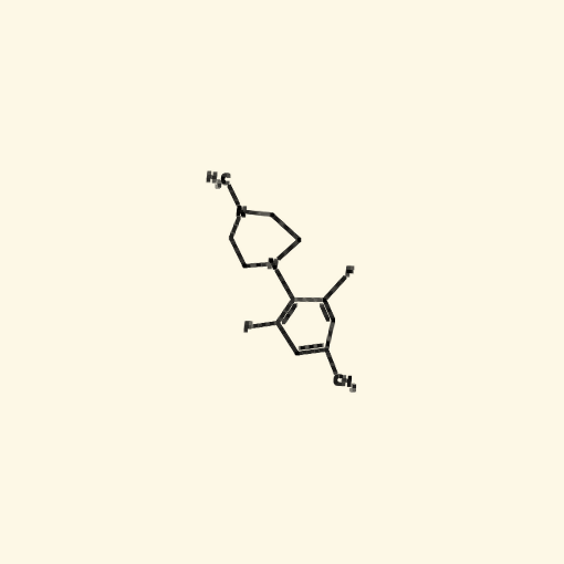 Cc1cc(F)c(N2CCN(C)CC2)c(F)c1